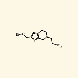 CCOCc1cc2c(s1)CN(CC[N+](=O)[O-])CC2